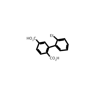 CCc1ccccc1-c1cc(C(=O)O)ccc1C(=O)O